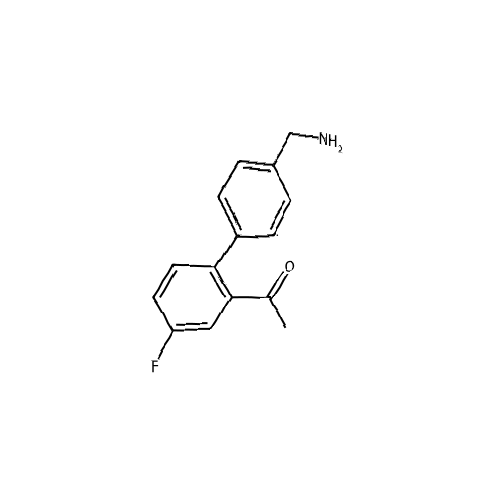 CC(=O)c1cc(F)ccc1-c1[c]cc(CN)cc1